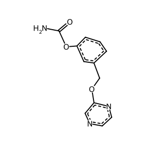 NC(=O)Oc1cccc(COc2cnccn2)c1